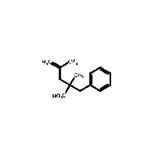 C=C(C)CC(C)(Cc1ccccc1)C(=O)O